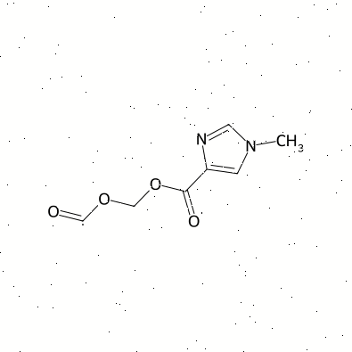 Cn1cnc(C(=O)OCO[C]=O)c1